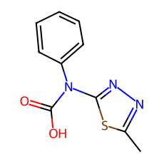 Cc1nnc(N(C(=O)O)c2ccccc2)s1